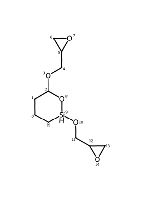 C1CC(OCC2CO2)O[SiH](OCC2CO2)C1